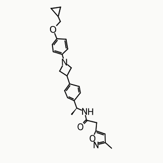 Cc1cc(CC(=O)N[C@@H](C)c2ccc(C3CN(c4ccc(OCC5CC5)cc4)C3)cc2)on1